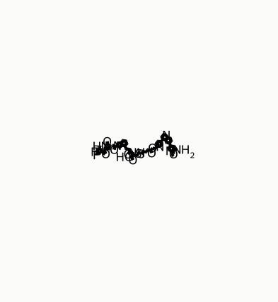 COc1ncc(-c2ccc3nccc(-c4ccc(COC(=O)CCCSSCC(NC(=O)CCc5cccc6c5CN(C(=O)C[C@@H]5C[C@@H](C(=O)N7CC(F)(F)C[C@H]7C)NC5=O)C6)C(=O)O)nc4)c3c2)cc1N